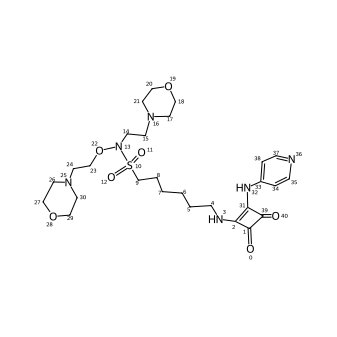 O=c1c(NCCCCCCS(=O)(=O)N(CCN2CCOCC2)OCCN2CCOCC2)c(Nc2ccncc2)c1=O